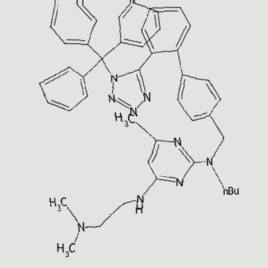 CCCCN(Cc1ccc(-c2ccccc2-c2nnnn2C(c2ccccc2)(c2ccccc2)c2ccccc2)cc1)c1nc(C)cc(NCCN(C)C)n1